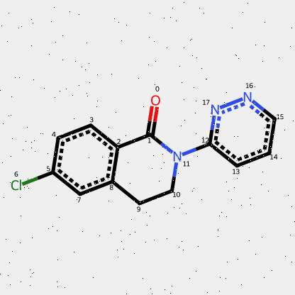 O=C1c2ccc(Cl)cc2CCN1c1cccnn1